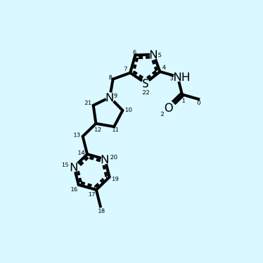 CC(=O)Nc1ncc(CN2CCC(Cc3ncc(C)cn3)C2)s1